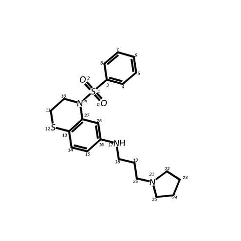 O=S(=O)(c1ccccc1)N1CCSc2ccc(NCCCN3CCCC3)cc21